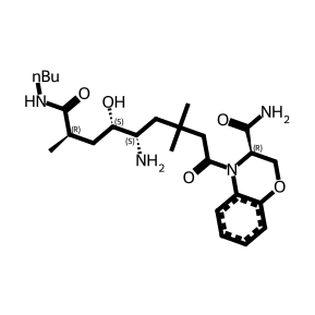 CCCCNC(=O)[C@H](C)C[C@H](O)[C@@H](N)CC(C)(C)CC(=O)N1c2ccccc2OC[C@@H]1C(N)=O